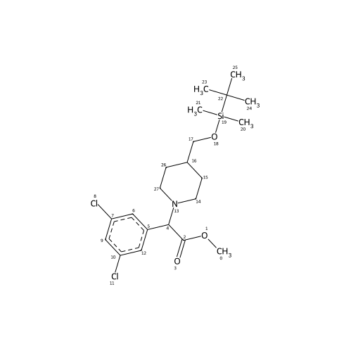 COC(=O)C(c1cc(Cl)cc(Cl)c1)N1CCC(CO[Si](C)(C)C(C)(C)C)CC1